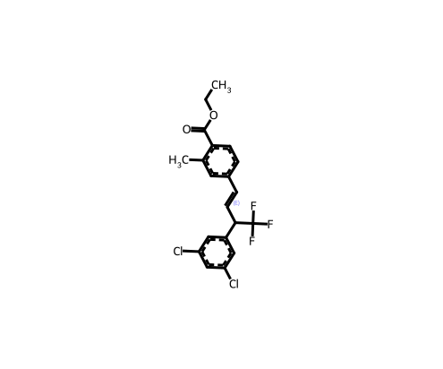 CCOC(=O)c1ccc(/C=C/C(c2cc(Cl)cc(Cl)c2)C(F)(F)F)cc1C